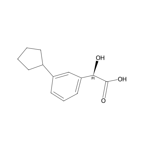 O=C(O)[C@H](O)c1cccc(C2CCCC2)c1